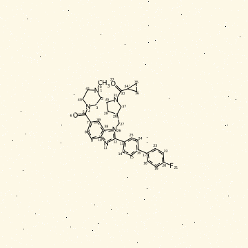 CN1CCN(C(=O)c2ccc3nc(-c4ccc(-c5ccc(F)cc5)cc4)n(CC4CCN(C(=O)C5CC5)C4)c3c2)CC1